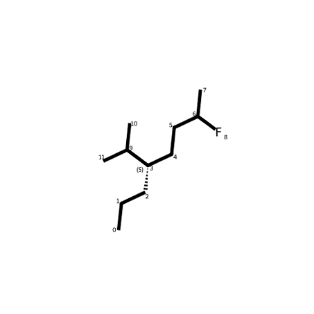 CCC[C@@H](CCC(C)F)C(C)C